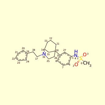 CS(=O)(=O)Nc1cccc(C23CCCC(C2)N(CCc2ccccc2)CC3)c1